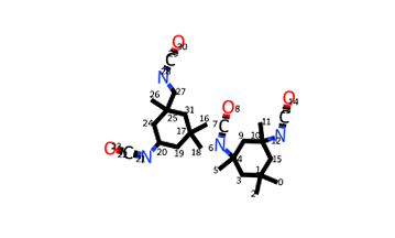 CC1(C)CC(C)(N=C=O)CC(C)(N=C=O)C1.CC1(C)CC(N=C=O)CC(C)(CN=C=O)C1